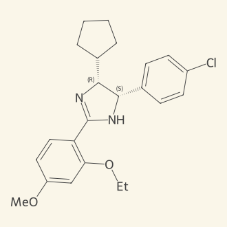 CCOc1cc(OC)ccc1C1=N[C@H](C2CCCC2)[C@H](c2ccc(Cl)cc2)N1